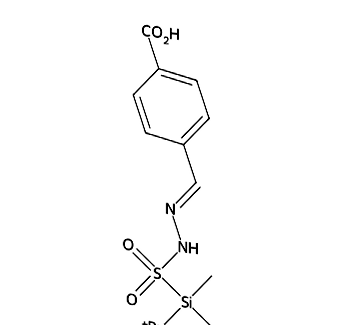 CC(C)(C)[Si](C)(C)S(=O)(=O)NN=Cc1ccc(C(=O)O)cc1